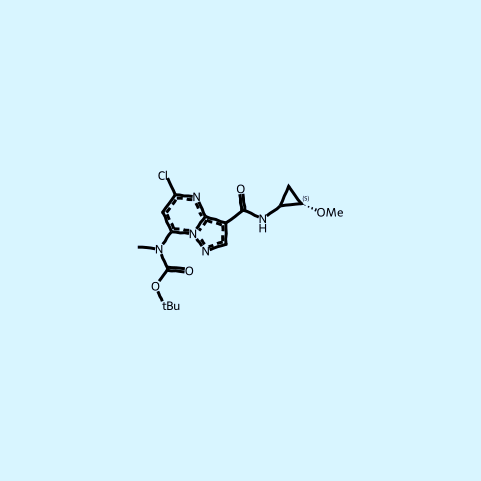 CO[C@H]1CC1NC(=O)c1cnn2c(N(C)C(=O)OC(C)(C)C)cc(Cl)nc12